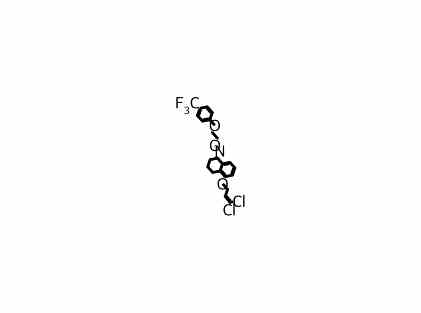 FC(F)(F)c1ccc(OCCON=C2CCCc3c(OCC=C(Cl)Cl)cccc32)cc1